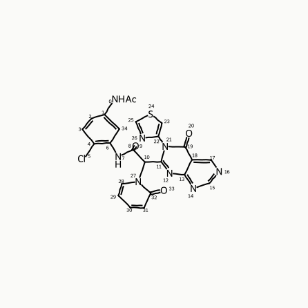 CC(=O)Nc1ccc(Cl)c(NC(=O)C(c2nc3ncncc3c(=O)n2-c2cscn2)n2ccccc2=O)c1